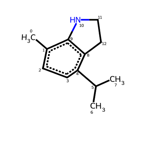 Cc1ccc(C(C)C)c2c1NCC2